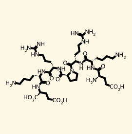 N=C(N)NCCC[C@H](NC(=O)[C@@H]1CCCN1C(=O)[C@H](CCCNC(=N)N)NC(=O)[C@H](CCCCN)NC(=O)[C@@H](N)CCC(=O)O)C(=O)N[C@@H](CCCCN)C(=O)N[C@@H](CCC(=O)O)C(=O)O